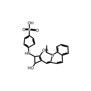 CCN1C(=CC2=C(O)C(Nc3ccc(S(=O)(=O)O)cc3)C2O)C=Cc2ccccc21